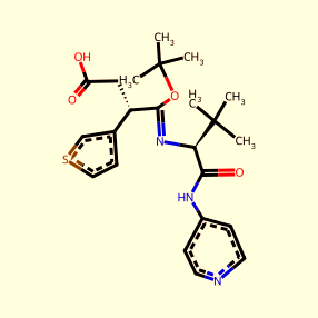 CC(C)(C)OC(=N[C@H](C(=O)Nc1ccncc1)C(C)(C)C)[C@@H](CC(=O)O)c1ccsc1